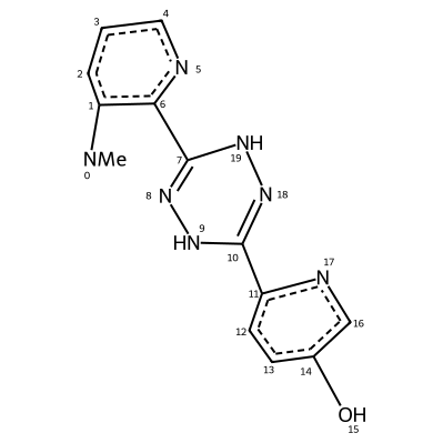 CNc1cccnc1C1=NNC(c2ccc(O)cn2)=NN1